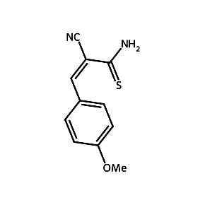 COc1ccc(C=C(C#N)C(N)=S)cc1